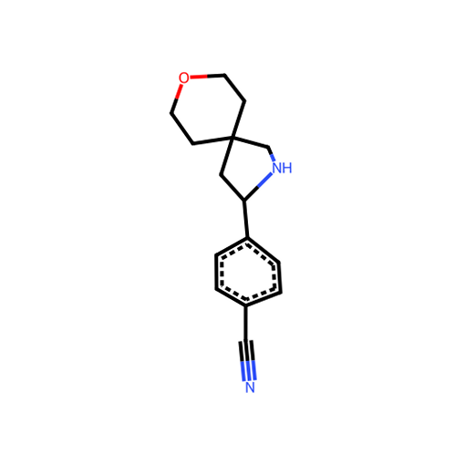 N#Cc1ccc(C2CC3(CCOCC3)CN2)cc1